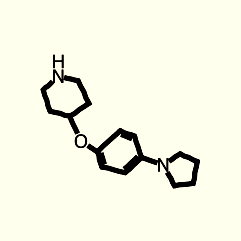 c1cc(N2CCCC2)ccc1OC1CCNCC1